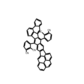 N#Cc1cccc(-c2c3cc4c(cc3c(-c3cccc(C#N)c3C#N)c3c5cc6ccccc6c6cccc(c23)c65)c2ccc3ccc5cccc6cc4c2c3c56)c1C#N